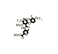 COC(=O)c1cc(NC(=O)c2c(Oc3ccc(OC(F)(F)F)c(F)c3OC)cnc(C(F)(F)F)c2OC)c(C)cn1